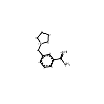 N=C(N)c1cccc(CN2CCCC2)c1